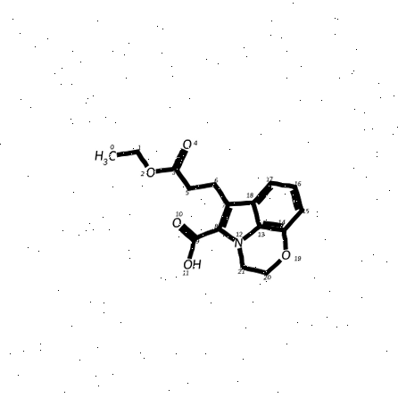 CCOC(=O)CCc1c(C(=O)O)n2c3c(cccc13)OCC2